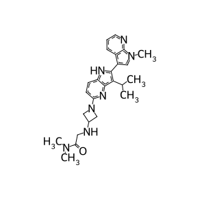 CC(C)c1c(-c2cn(C)c3ncccc23)[nH]c2ccc(N3CC(NCC(=O)N(C)C)C3)nc12